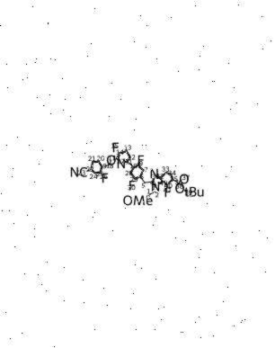 COCCn1c(Cc2cc(F)c(-c3ccc(F)c(OCc4ccc(C#N)cc4F)n3)cc2F)nc2ccc(C(=O)OC(C)(C)C)c(F)c21